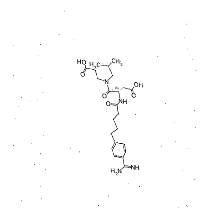 CC(C)CN(CCC(=O)O)C(=O)[C@H](CC(=O)O)NC(=O)CCCCc1ccc(C(=N)N)cc1